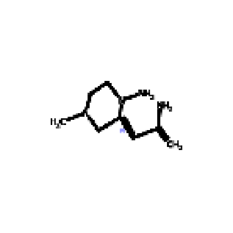 C=C(N)/C=C1/CN(C)CCN1N